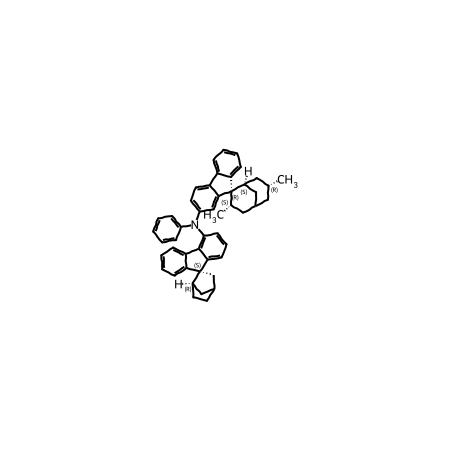 C[C@@H]1CC2C[C@H](C1)[C@@]1(c3ccccc3-c3ccc(N(c4ccccc4)c4cccc5c4-c4ccccc4[C@@]54CC5CC[C@@H]4C5)cc31)[C@@H](C)C2